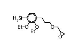 CCOc1c([SiH3])ccc(CCCOCC2CO2)c1OCC